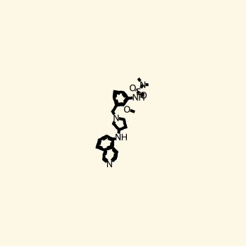 COc1c(CN2CCC(Nc3cccc4cnccc34)C2)cccc1NS(=O)(=O)N(C)C